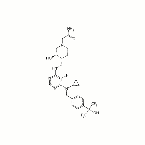 NC(=O)CN1CC[C@H](CNc2ncnc(N(Cc3ccc(C(O)(C(F)(F)F)C(F)(F)F)cc3)C3CC3)c2F)[C@@H](O)C1